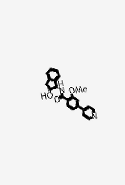 COc1cc(-c2ccncc2)ccc1C(=O)N[C@H]1c2ccccc2C[C@H]1O